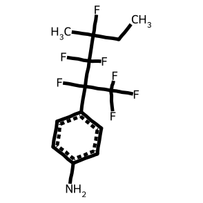 CCC(C)(F)C(F)(F)C(F)(c1ccc(N)cc1)C(F)(F)F